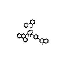 C(=C\c1ccccc1-c1ccccc1)/c1cc(-c2cc3ccccc3c3ccccc23)nc(-c2ccc(-c3cnc4ccccc4c3)cc2)n1